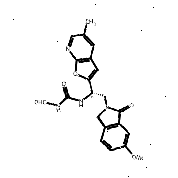 COc1ccc2c(c1)C(=O)N(C[C@H](NC(=O)NC=O)c1cc3cc(C)cnc3o1)C2